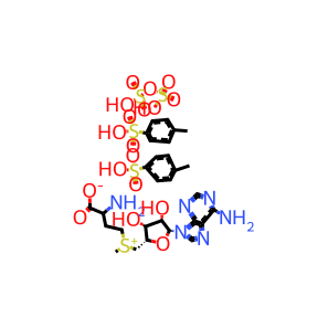 C[S+](CCC(N)C(=O)[O-])C[C@H]1O[C@@H](n2cnc3c(N)ncnc32)[C@H](O)[C@@H]1O.Cc1ccc(S(=O)(=O)O)cc1.Cc1ccc(S(=O)(=O)O)cc1.O=S(=O)(O)OS(=O)(=O)O